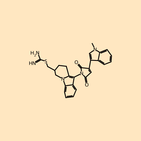 Cn1cc(C2=CC(=O)N(c3c4n(c5ccccc35)CC(CSC(=N)N)CC4)C2=O)c2ccccc21